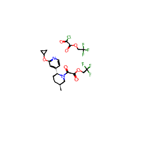 C[C@H]1CC[C@H](c2ccnc(OC3CC3)c2)N(C(=O)C(=O)OCC(F)(F)F)C1.O=C(Cl)C(=O)OCC(F)(F)F